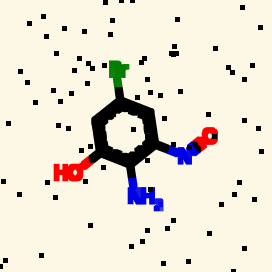 Nc1c(O)cc(Br)cc1N=O